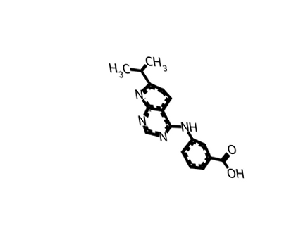 CC(C)c1ccc2c(Nc3cccc(C(=O)O)c3)ncnc2n1